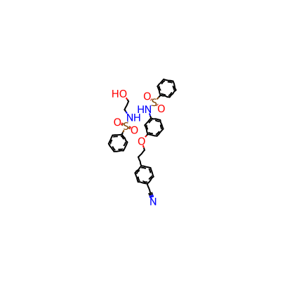 N#Cc1ccc(CCOc2cccc(NS(=O)(=O)c3ccccc3)c2)cc1.O=S(=O)(NCCO)c1ccccc1